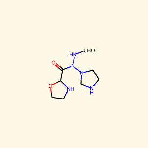 O=CNN(C(=O)C1NCCO1)N1CCNC1